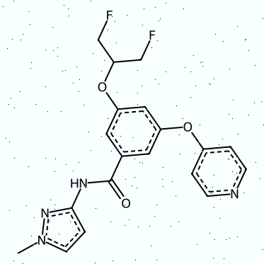 Cn1ccc(NC(=O)c2cc(Oc3ccncc3)cc(OC(CF)CF)c2)n1